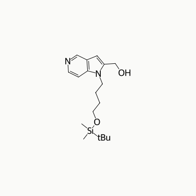 CC(C)(C)[Si](C)(C)OCCCCn1c(CO)cc2cnccc21